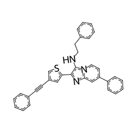 C(#Cc1csc(-c2nc3cc(-c4ccccc4)ccn3c2NCCc2ccccc2)c1)c1ccccc1